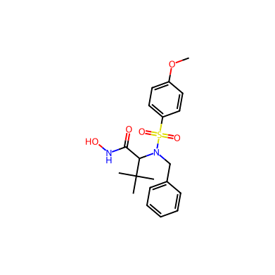 COc1ccc(S(=O)(=O)N(Cc2ccccc2)C(C(=O)NO)C(C)(C)C)cc1